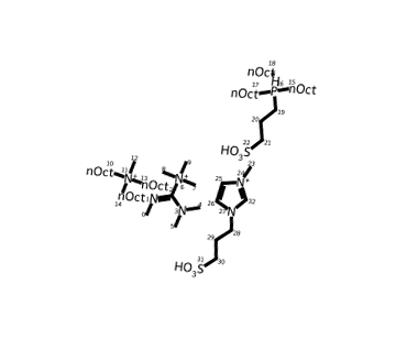 C/N=C(\N(C)C)[N+](C)(C)C.CCCCCCCC[N+](C)(CCCCCCCC)CCCCCCCC.CCCCCCCC[PH](CCCCCCCC)(CCCCCCCC)CCCS(=O)(=O)O.C[n+]1ccn(CCCS(=O)(=O)O)c1